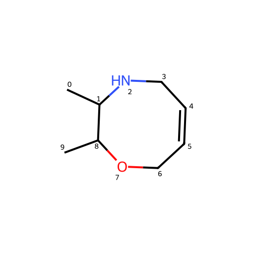 CC1NC/C=C\COC1C